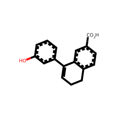 O=C(O)c1ccc2c(c1)C(c1cccc(O)c1)=CCC2